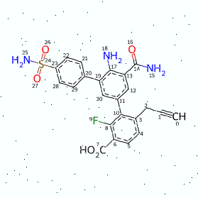 C#CCc1ccc(C(=O)O)c(F)c1-c1cc(C(N)=O)c(N)c(-c2ccc(S(N)(=O)=O)cc2)c1